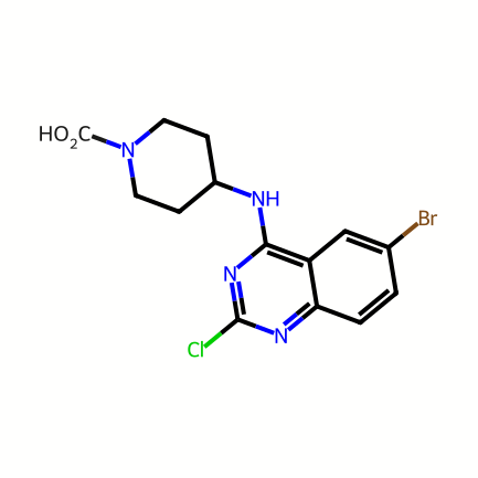 O=C(O)N1CCC(Nc2nc(Cl)nc3ccc(Br)cc23)CC1